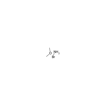 COC.NBr